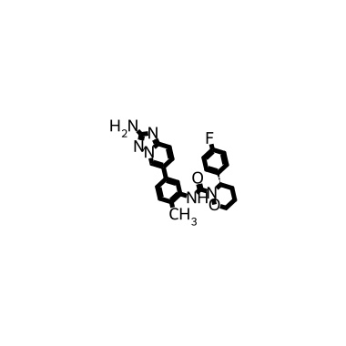 Cc1ccc(-c2ccc3nc(N)nn3c2)cc1NC(=O)N1OCCC[C@H]1c1ccc(F)cc1